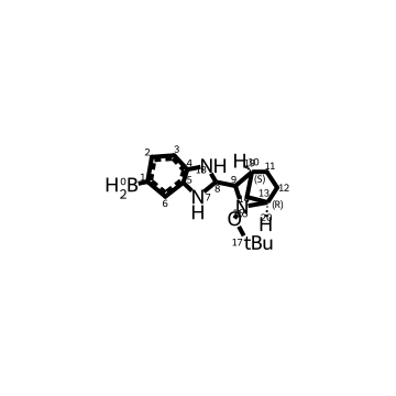 Bc1ccc2c(c1)NC(C1[C@H]3CC[C@H](C3)N1OC(C)(C)C)N2